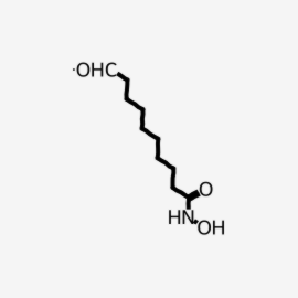 O=[C]CCCCCCCCC(=O)NO